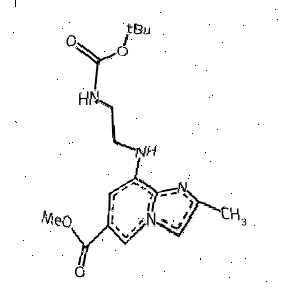 COC(=O)c1cc(NCCNC(=O)OC(C)(C)C)c2nc(C)cn2c1